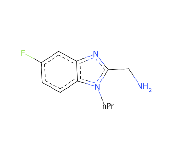 CCCn1c(CN)nc2cc(F)ccc21